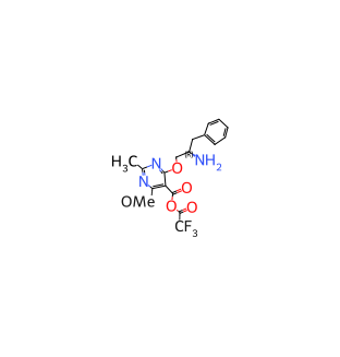 COc1nc(C)nc(OC[C@H](N)Cc2ccccc2)c1C(=O)OC(=O)C(F)(F)F